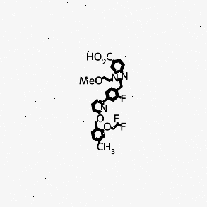 COCCn1c(Cc2ccc(-c3cccc(OCc4ccc(C)cc4OCC(F)F)n3)cc2F)nc2ccc(C(=O)O)cc21